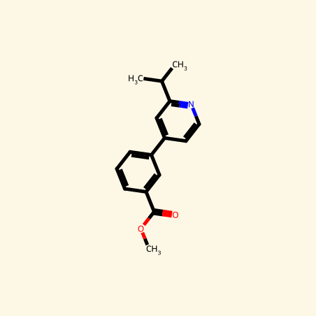 COC(=O)c1cccc(-c2ccnc(C(C)C)c2)c1